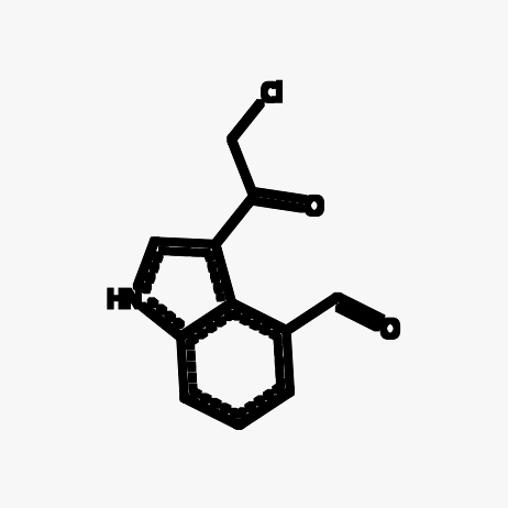 O=Cc1cccc2[nH]cc(C(=O)CCl)c12